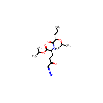 CCC[C@H](OC(C)C)C(=O)N[C@@H](CCC(=O)C=[N+]=[N-])C(=O)OC(C)C